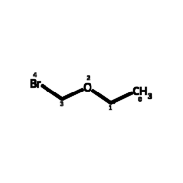 C[CH]OCBr